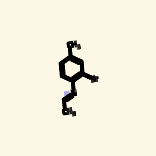 C/C=N/c1ccc(C)cc1Br